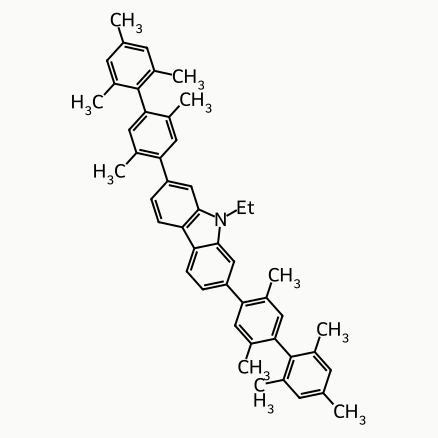 CCn1c2cc(-c3cc(C)c(-c4c(C)cc(C)cc4C)cc3C)ccc2c2ccc(-c3cc(C)c(-c4c(C)cc(C)cc4C)cc3C)cc21